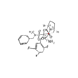 CN(Cc1ccccc1)S(=O)(=O)C(C)(C)C(=O)N1[C@@H]2CC[C@H]1C[C@H]([C@H](N)Cc1cc(F)c(F)cc1F)C2